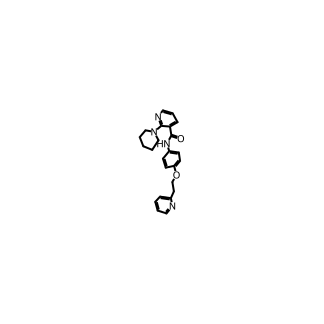 O=C(Nc1ccc(OCCc2ccccn2)cc1)c1cccnc1N1CCCCC1